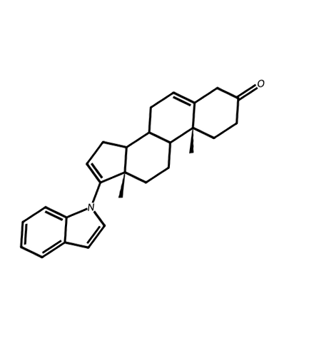 C[C@]12CCC(=O)CC1=CCC1C2CC[C@]2(C)C(n3ccc4ccccc43)=CCC12